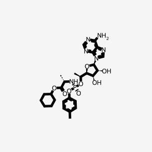 Cc1ccc(OP(=O)(N[C@@H](C)C(=O)OC2CCCCC2)O[C@@H](C)[C@H]2O[C@@H](n3cnc4c(N)ncnc43)[C@H](O)[C@@H]2O)cc1